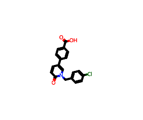 O=C(O)c1ccc(-c2ccc(=O)n(Cc3ccc(Cl)cc3)c2)cc1